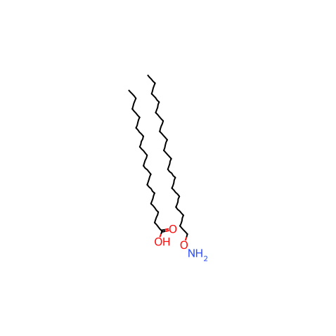 CCCCCCCCCCCCCCCC(=O)O.CCCCCCCCCCCCCCCCCCON